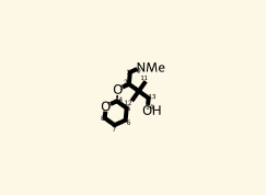 CNCC(O[C@@H]1CCCCO1)C(C)(C)CO